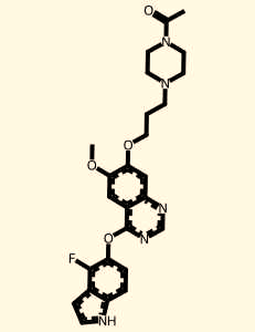 COc1cc2c(Oc3ccc4[nH]ccc4c3F)ncnc2cc1OCCCN1CCN(C(C)=O)CC1